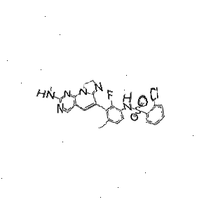 CNc1ncc2c(n1)N1CCN=C1C(c1c(C)ccc(NS(=O)(=O)c3ccccc3Cl)c1F)=C2